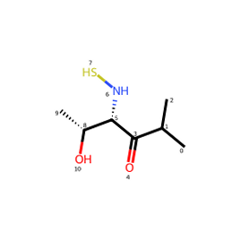 CC(C)C(=O)[C@@H](NS)[C@@H](C)O